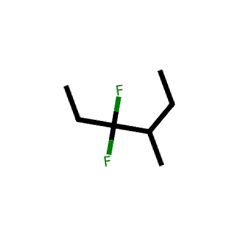 CCC(C)C(F)(F)CC